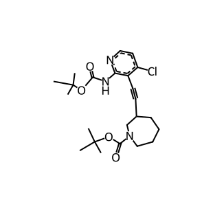 CC(C)(C)OC(=O)Nc1nccc(Cl)c1C#CC1CCCCN(C(=O)OC(C)(C)C)C1